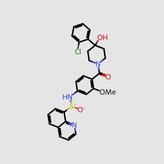 COc1cc(N[S+]([O-])c2cccc3cccnc23)ccc1C(=O)N1CCC(O)(c2ccccc2Cl)CC1